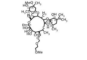 CC[C@H]1OC(=O)[C@@H](C)C(O[C@@H]2C[C@@](C)(OC)[C@@H](O)[C@H](C)O2)C(C)C(O[C@@H]2O[C@H](C)C[C@H](N(C)C)[C@H]2O)C(C)(O)CC(C)C(=NOCOCCOC)C(C)[C@@H](O)C1(O)O